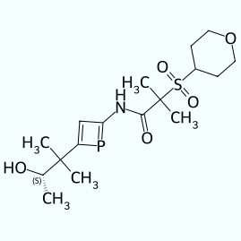 C[C@H](O)C(C)(C)C1=CC(NC(=O)C(C)(C)S(=O)(=O)C2CCOCC2)=P1